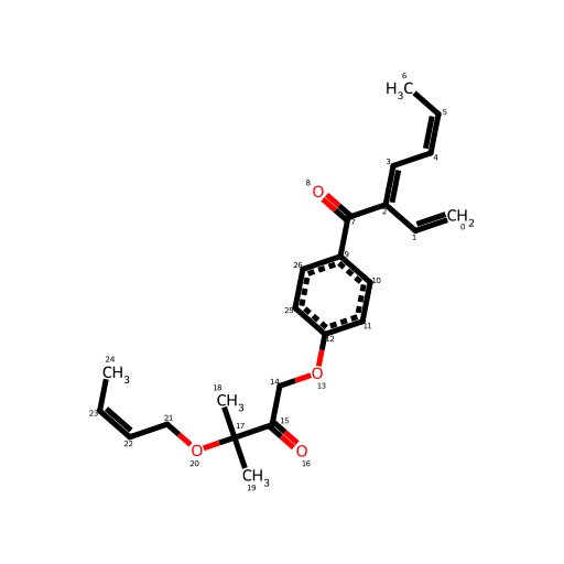 C=C/C(=C\C=C/C)C(=O)c1ccc(OCC(=O)C(C)(C)OC/C=C\C)cc1